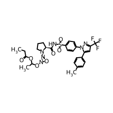 CCC(=O)OC(C)On1on1N1CCC[C@H]1C(=O)NS(=O)(=O)c1ccc(-n2nc(C(F)(F)F)cc2-c2ccc(C)cc2)cc1